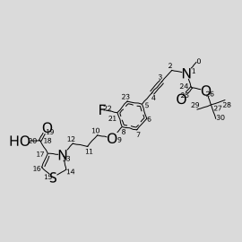 CN(CC#Cc1ccc(OCCCN2CSC=C2C(=O)O)c(F)c1)C(=O)OC(C)(C)C